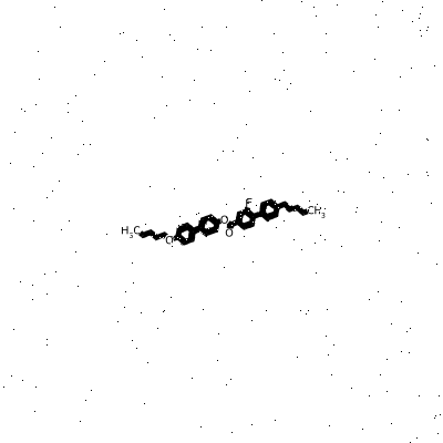 CCCCCOc1ccc(-c2ccc(OC(=O)c3ccc(-c4ccc(CCCCC)cc4)c(F)c3)cc2)cc1